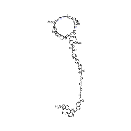 CO[C@H]1C[C@@H]2CC[C@@H](C)[C@@](O)(O2)C(=O)C(=O)N2CCCC[C@H]2C(=O)O[C@H]([C@H](N)C[C@@H]2CC[C@@H](OC(=O)NCc3cnc(N4CCN(c5cnc(C(=O)NCCOCCOCCOCCOCCC(=O)N6CCc7cc(Cn8nc(-c9ccc%10oc(N)nc%10c9)c9c(N)ncnc98)ccc7C6)cn5)CC4)nc3)[C@H](OC)C2)CC(=O)[C@H](C)/C=C(\C)[C@@H](O)[C@@H](O)C(=O)[C@H](C)C[C@H](C)/C=C/C=C/C=C/1C